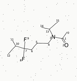 CC(=O)N(CCCC(F)(F)C(C)C)C(C)C